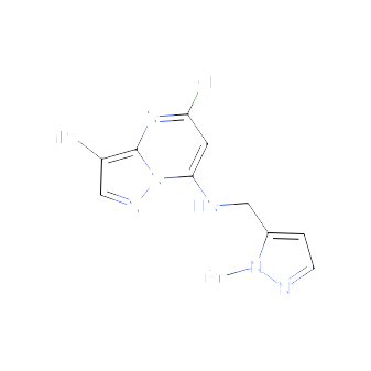 CC(C)c1cnn2c(NCc3ccnn3C(C)C)cc(Cl)nc12